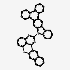 c1ccc2cc3c(cc2c1)Oc1cccc2nc(-n4c5ccccc5c5cc6c7ccccc7c7ccccc7c6cc54)nc-3c12